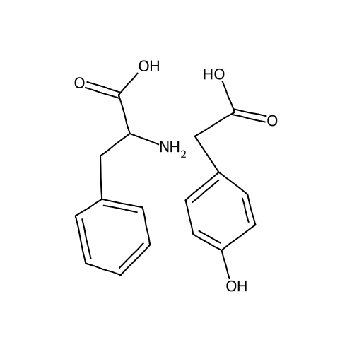 NC(Cc1ccccc1)C(=O)O.O=C(O)Cc1ccc(O)cc1